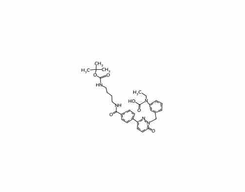 CCN(C(=O)O)c1cccc(Cn2nc(-c3ccc(C(=O)NCCCCNC(=O)OC(C)(C)C)cc3)ccc2=O)c1